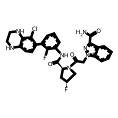 NC(=O)c1nn(CC(=O)N2C[C@H](F)C[C@H]2C(=O)Nc2cccc(-c3ccc4c(c3Cl)NCCN4)c2F)c2ccccc12